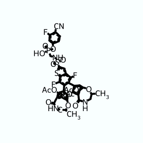 CC(=O)Oc1c2cc(-c3c(-c4cc5c(OC(C)=O)c(c4OC(C)=O)C(=O)NCC(C)O5)c(F)c4sc(S(=O)(=O)NCP(=O)(O)Oc5ccc(C#N)c(F)c5)cc4c3F)c(OC(C)=O)c1C(=O)NCC(C)O2